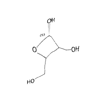 OCC1O[C@H](O)C1O